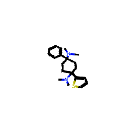 CN(C)C1(c2ccccc2)CCC(c2cccs2)(N(C)C)CC1